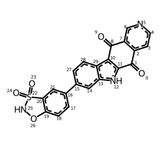 O=C1c2ccncc2C(=O)c2c1[nH]c1cc(-c3ccc4c(c3)S(=O)(=O)NO4)ccc21